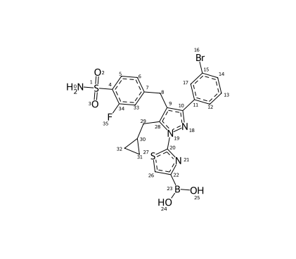 NS(=O)(=O)c1ccc(Cc2c(-c3cccc(Br)c3)nn(-c3nc(B(O)O)cs3)c2CC2CC2)cc1F